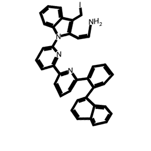 N/C=C\c1c(CI)c2ccccc2n1-c1cccc(-c2cccc(-c3ccccc3-c3cccc4ccccc34)n2)n1